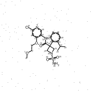 COCCOc1cc(Cl)ncc1NC(=O)C1(c2ccccc2C(C)C)CN(S(N)(=O)=O)C1